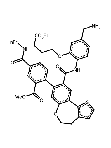 CCCNC(=O)c1ccc(-c2cc3c(cc2C(=O)Nc2ccc(CN)cc2OCCCC(=O)OCC)-c2sccc2CCO3)c(C(=O)OC)n1